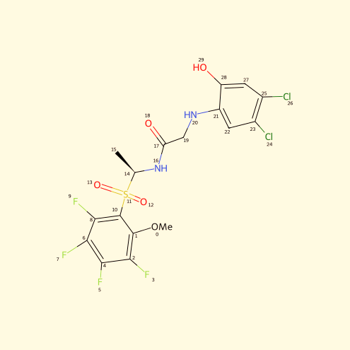 COc1c(F)c(F)c(F)c(F)c1S(=O)(=O)[C@@H](C)NC(=O)CNc1cc(Cl)c(Cl)cc1O